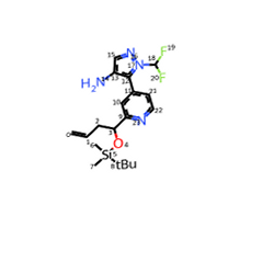 C=CCC(O[Si](C)(C)C(C)(C)C)c1cc(-c2c(N)cnn2C(F)F)ccn1